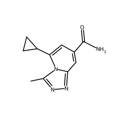 Cc1nnc2cc(C(N)=O)cc(C3CC3)n12